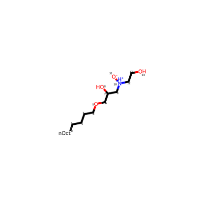 CCCCCCCCCCCCOCC(O)C[NH+]([O-])CCO